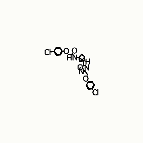 O=C(COc1ccc(Cl)cc1)NC12CC(C1)[C@H](c1nc(COc3ccc(Cl)cc3)no1)C2